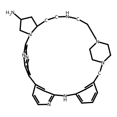 NC1CC2CCNCCN3CCN(CC3)Cc3cccc(c3)Nc3cc(ccn3)-c3cnc(nc3)N2C1